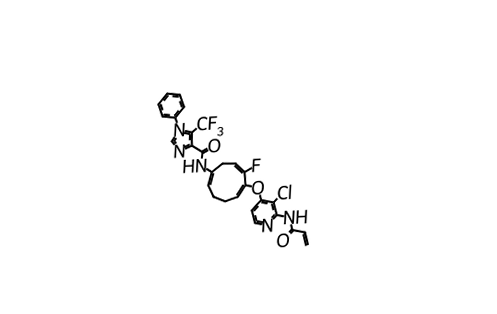 C=CC(=O)Nc1nccc(OC2=C/CC/C=C(/NC(=O)c3ncn(-c4ccccc4)c3C(F)(F)F)C/C=C\2F)c1Cl